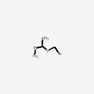 COC(C)OCBr